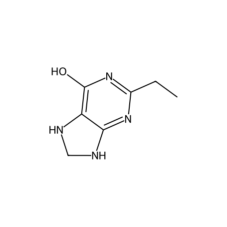 CCc1nc(O)c2c(n1)NCN2